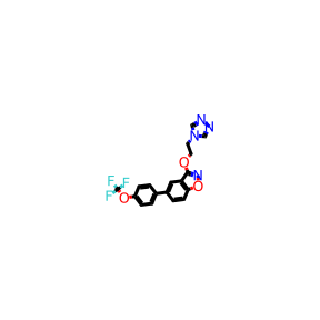 FC(F)(F)Oc1ccc(-c2ccc3onc(OCCn4cnnc4)c3c2)cc1